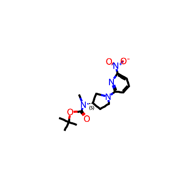 CN(C(=O)OC(C)(C)C)[C@H]1CCN(c2cccc([N+](=O)[O-])n2)C1